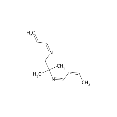 C=C/C=N\CC(C)(C)/N=C\C=C/C